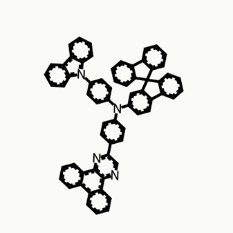 c1ccc2c(c1)-c1ccccc1C21c2ccccc2-c2ccc(N(c3ccc(-c4cnc5c6ccccc6c6ccccc6c5n4)cc3)c3ccc(-n4c5ccccc5c5ccccc54)cc3)cc21